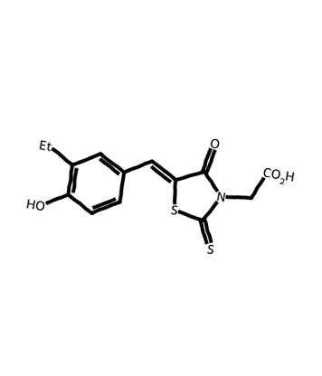 CCc1cc(/C=C2\SC(=S)N(CC(=O)O)C2=O)ccc1O